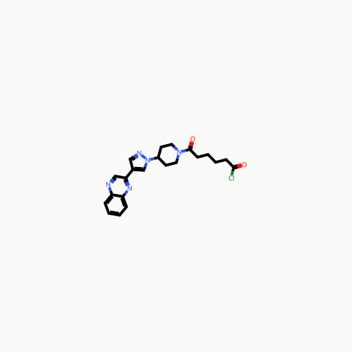 O=C(Cl)CCCCC(=O)N1CCC(n2cc(-c3cnc4ccccc4n3)cn2)CC1